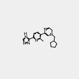 Cc1nc(-c2nnc[nH]2)ccc1C1=CN(CC2CCCC2)CC=N1